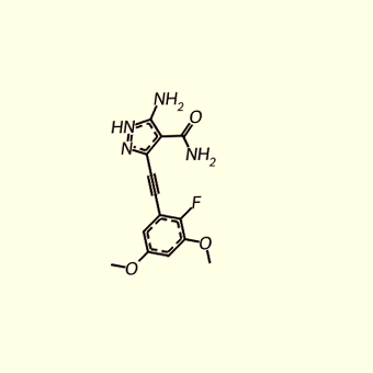 COc1cc(C#Cc2n[nH]c(N)c2C(N)=O)c(F)c(OC)c1